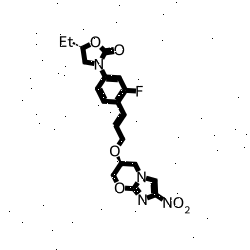 CC[C@H]1CN(c2ccc(/C=C/CO[C@@H]3COc4nc([N+](=O)[O-])cn4C3)c(F)c2)C(=O)O1